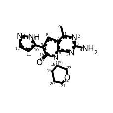 Cc1nc(N)nc2c1cc(-c1ccn[nH]1)c(=O)n2[C@H]1CCCOC1